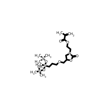 C=C(C)C(=O)OCCN1CC(COCCC[Si](C)(O[Si](C)(C)C)O[Si](C)(C)C)OC1=O